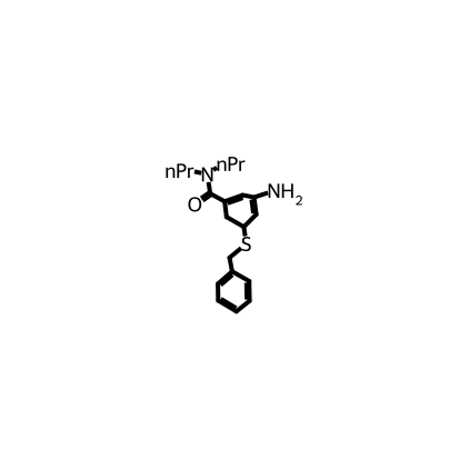 CCCN(CCC)C(=O)C1=CC(N)=CC(SCc2ccccc2)C1